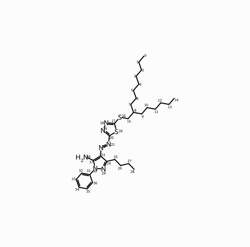 CCCCCCCCC(CCCCCC)CSc1nnc(N=Nc2c(CCCC)nn(-c3ccccc3)c2N)s1